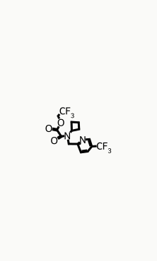 O=C(OCC(F)(F)F)C(=O)N(Cc1ccc(C(F)(F)F)cn1)C1CCC1